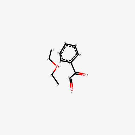 CCOCC.O=CC(=O)c1ccccc1